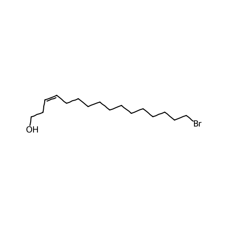 OCC/C=C\CCCCCCCCCCCCBr